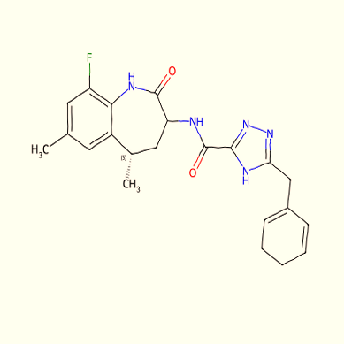 Cc1cc(F)c2c(c1)[C@@H](C)CC(NC(=O)c1nnc(CC3=CCCC=C3)[nH]1)C(=O)N2